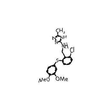 COc1ccc(Sc2cccc(Cl)c2CNc2nnc(C)[nH]2)cc1OC